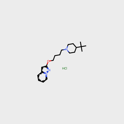 CC(C)(C)C1CCN(CCCCOc2cc3ccccn3n2)CC1.Cl